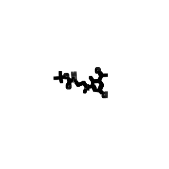 CC(=O)c1cc(Cl)cc(N(C)CCNC(=O)OC(C)(C)C)c1C